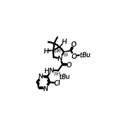 CC(C)(C)OC(=O)[C@@H]1[C@@H]2[C@H](CN1C(=O)[C@@H](Nc1nccnc1Cl)C(C)(C)C)C2(C)C